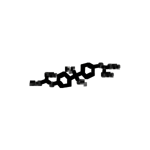 COC(OC)Oc1ccc(C(C)(C)c2ccc(OP(OC)OC)cc2)cc1